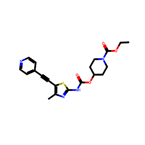 CCOC(=O)N1CCC(OC(=O)Nc2nc(C)c(C#Cc3ccncc3)s2)CC1